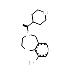 N#Cc1cncc2c1OCCN(C(=O)C1CCNCC1)C2